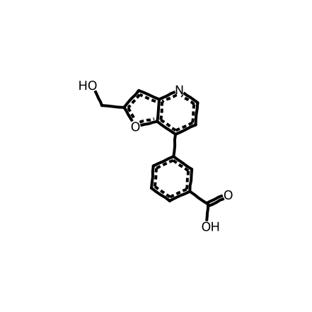 O=C(O)c1cccc(-c2ccnc3cc(CO)oc23)c1